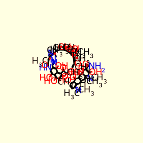 CN(C)c1ccc(O)c2c1C[C@H]1C[C@H]3[C@H](N(C)C)C(O)=C(C(N)=O)C(=O)[C@@]3(O)C(O)=C1C2=O.CO[C@H]1/C=C/O[C@@]2(C)Oc3c(C)c(O)c4c(O)c(c(/C=N/N5CCN(C)CC5)c(O)c4c3C2=O)NC(=O)/C(C)=C\C=C\[C@H](C)[C@H](O)[C@@H](C)[C@@H](O)[C@@H](C)[C@H](OC(C)=O)[C@@H]1C